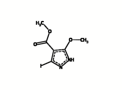 COC(=O)c1c(I)n[nH]c1OC